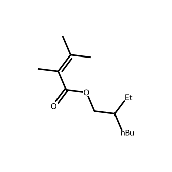 CCCCC(CC)COC(=O)C(C)=C(C)C